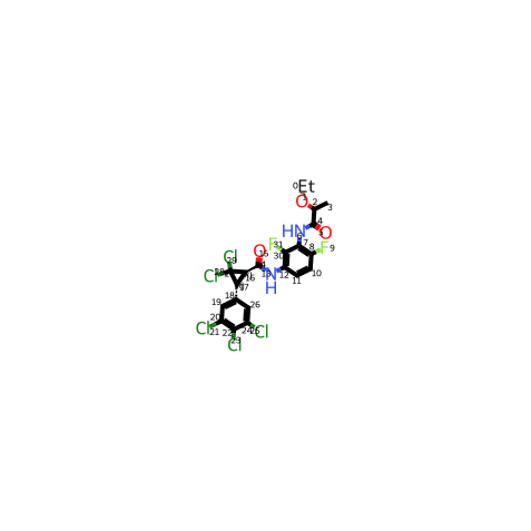 CCOC(C)C(=O)Nc1c(F)ccc(NC(=O)[C@H]2[C@H](c3cc(Cl)c(Cl)c(Cl)c3)C2(Cl)Cl)c1F